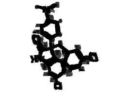 CN(C)c1ccc(C2(Cc3cccc(Cl)c3)C(=O)Nc3cc(Cl)ccc32)cc1